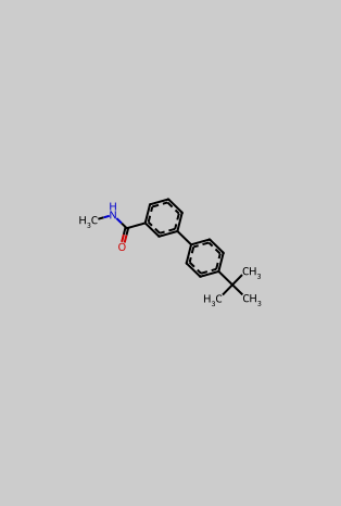 CNC(=O)c1cccc(-c2ccc(C(C)(C)C)cc2)c1